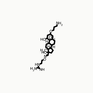 C[C@]12C(O)CC(OCCCN)CC1CC[C@@H]1[C@H]2CC[C@@]2(C)[C@H]1CCC2(O)/C=N/OCCNC(=N)N